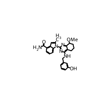 COC1CCCc2c(NCc3cccc(O)c3)nc(-n3c(C)cc4c(C(N)=O)cccc43)nc21